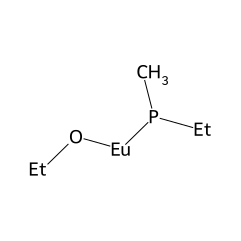 CC[O][Eu][P](C)CC